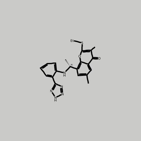 CCSc1oc2c([C@@H](C)Nc3ccccc3-c3nn[nH]n3)cc(C)cc2c(=O)c1C